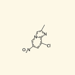 Cc1cn2cc([N+](=O)[O-])cc(Cl)c2n1